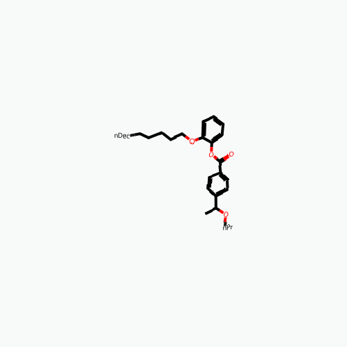 CCCCCCCCCCCCCCCOc1ccccc1OC(=O)c1ccc(C(C)OCCC)cc1